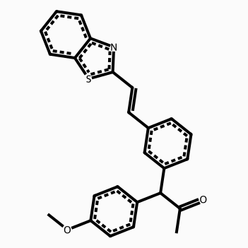 COc1ccc(C(C(C)=O)c2cccc(C=Cc3nc4ccccc4s3)c2)cc1